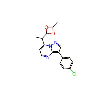 CC1OC(C(C)c2ccnc3c(-c4ccc(Cl)cc4)cnn23)O1